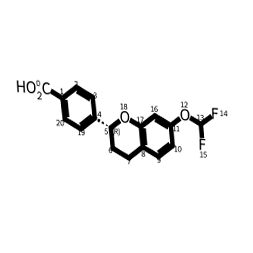 O=C(O)c1ccc([C@H]2CCc3ccc(OC(F)F)cc3O2)cc1